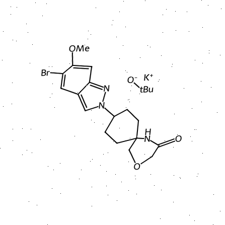 CC(C)(C)[O-].COc1cc2nn(C3CCC4(CC3)COCC(=O)N4)cc2cc1Br.[K+]